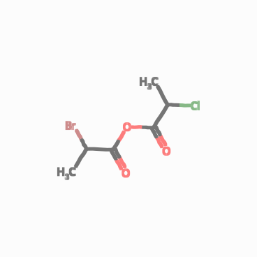 CC(Cl)C(=O)OC(=O)C(C)Br